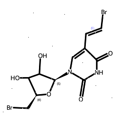 O=c1[nH]c(=O)n([C@H]2O[C@@H](CBr)C(O)C2O)cc1/C=C/Br